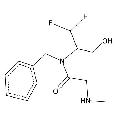 CNCC(=O)N(Cc1ccccc1)C(CO)C(F)F